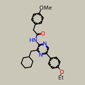 CCOc1ccc(-c2cnc(NC(=O)Cc3ccc(OC)cc3)c(CC3CCCCC3)n2)cc1